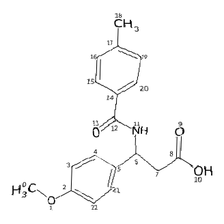 COc1ccc(C(CC(=O)O)NC(=O)c2ccc(C)cc2)cc1